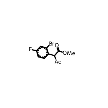 COC(=O)C(C(C)=O)c1ccc(F)cc1Br